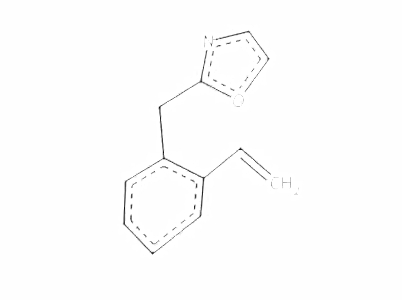 C=Cc1ccccc1Cc1ncco1